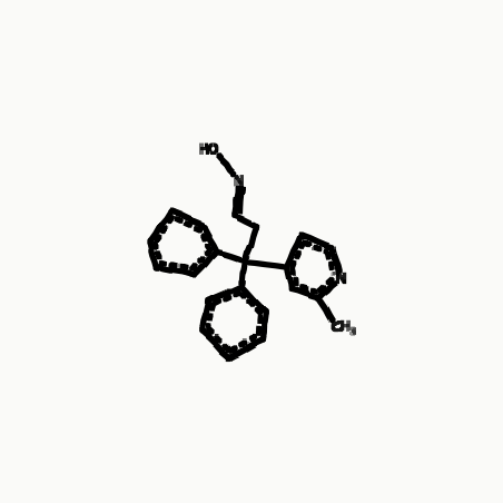 Cc1cc(C(CC=NO)(c2ccccc2)c2ccccc2)ccn1